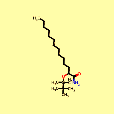 CCCCCC[CH]CCCCCC(O[Si](C)(C)C(C)(C)C)C(N)=O